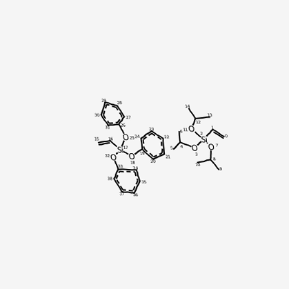 C=C[Si](OC(C)C)(OC(C)C)OC(C)C.C=C[Si](Oc1ccccc1)(Oc1ccccc1)Oc1ccccc1